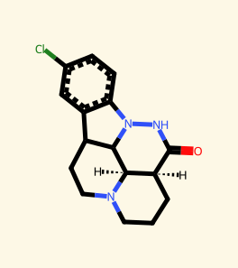 O=C1NN2c3ccc(Cl)cc3C3CCN4CCC[C@H]1[C@@H]4C32